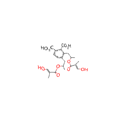 CC(=CO)C(=O)OC(C)Cc1ccc(C(=O)O)c(C(=O)O)c1CC(C)OC(=O)C(C)=CO